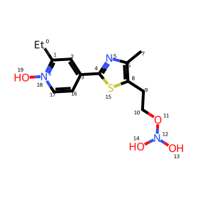 CCc1cc(-c2nc(C)c(CCON(O)O)s2)cc[n+]1O